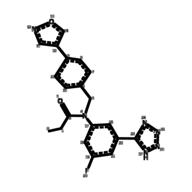 CCC(=O)N(Cc1ccc(-c2cnoc2)cc1)c1cc(F)cc(-c2nnn[nH]2)c1